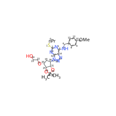 CCCSc1nc(NCc2ccc(OC)cc2)c2nnn([C@@H]3C[C@@H](OCCO)C4OC(C)(C)OC43)c2n1